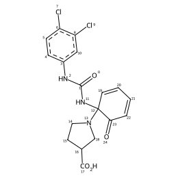 O=C(Nc1ccc(Cl)c(Cl)c1)NC1(N2CCC(C(=O)O)C2)C=CC=CC1=O